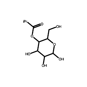 CC(C)C(=O)OC1C(CO)OC(O)C(O)C1O